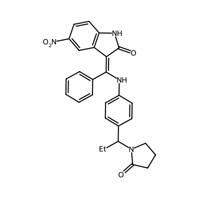 CCC(c1ccc(N/C(=C2\C(=O)Nc3ccc([N+](=O)[O-])cc32)c2ccccc2)cc1)N1CCCC1=O